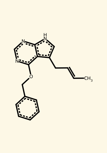 C/C=C/Cc1c[nH]c2ncnc(OCc3ccccc3)c12